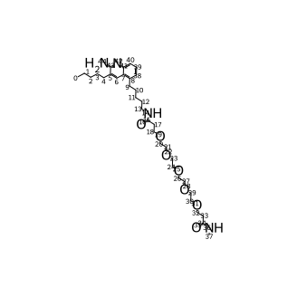 CCCCCc1cc2c(CCCCCNC(=O)CCOCCOCCOCCOCCOCCC(=O)NC)cccc2nc1N